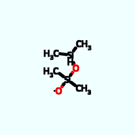 C[SiH](C)O[Si](C)(C)[O]